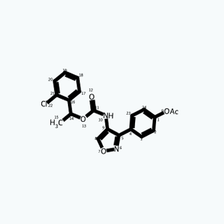 CC(=O)Oc1ccc(-c2nocc2NC(=O)OC(C)c2ccccc2Cl)cc1